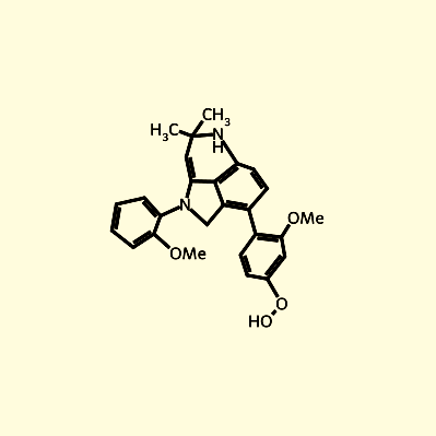 COc1cc(OO)ccc1-c1ccc2c3c1CN(c1ccccc1OC)C3=CC(C)(C)N2